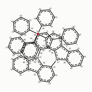 c1ccc(-c2ccc(-c3ccccc3)c(-n3c4ccccc4c4cccc(-n5c6ccccc6c6ccc([Si](c7ccccc7)(c7ccccc7)c7ccccc7)cc65)c43)c2)cc1